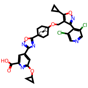 O=C(O)c1cc(-c2noc(C34CCC(OCc5c(-c6c(Cl)cncc6Cl)noc5C5CC5)(CC3)CC4)n2)cc(OC2CC2)n1